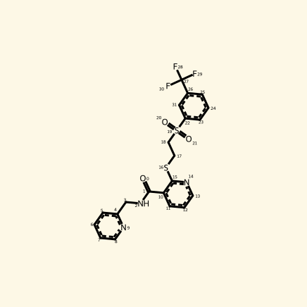 O=C(NCc1ccccn1)c1cccnc1SCCS(=O)(=O)c1cccc(C(F)(F)F)c1